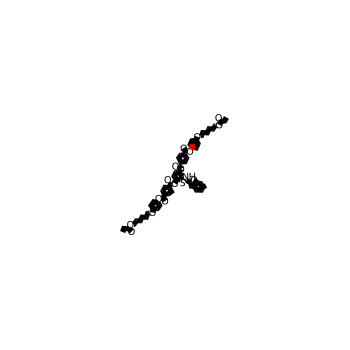 C=CC(=O)OCCCCCCOC1=CC=C(OC(=O)C2CCC(C(=O)OC3=CC=C(OC(=O)[C@H]4CC[C@H](C(=O)Oc5ccc(OCCCCCCOC(=O)C=C)cc5)CC4)C4NC(C5=CC6C=CC(C)=CC6O5)SC34)CC2)CC1